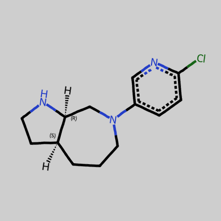 Clc1ccc(N2CCC[C@H]3CCN[C@H]3C2)cn1